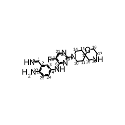 N=Cc1cc(Nc2nc(N3CCC4(CC3)CNCCO4)ncc2F)ccc1N